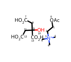 CC(=O)OCC[N+](C)(C)C.O=C(O)CC(O)(CC(=O)O)C(=O)O